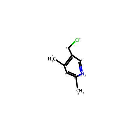 Cc1cc(C)c(CCl)cn1